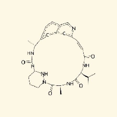 CC(C)[C@@H]1NC(=O)/C=C\c2cc3cc(ccc3cn2)[C@@H](C)NC(=O)[C@@H]2CCCN(N2)C(=O)[C@H](C)NC1=O